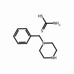 NC(=S)S.c1ccc(CN2CCNCC2)cc1